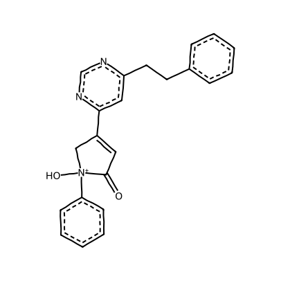 O=C1C=C(c2cc(CCc3ccccc3)ncn2)C[N+]1(O)c1ccccc1